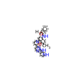 Cc1ccc2c(NC(=O)CC3(C)CCCCC3)cccc2c1Oc1ncccc1-c1ccnc(N[C@H]2CCCNC2)n1